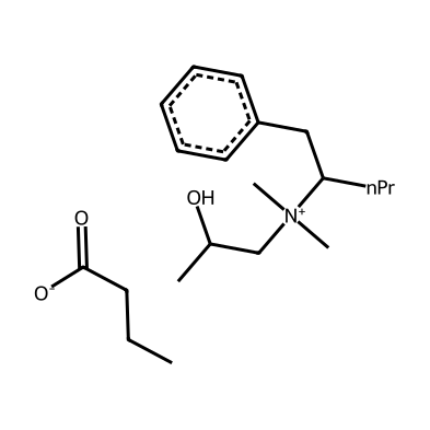 CCCC(=O)[O-].CCCC(Cc1ccccc1)[N+](C)(C)CC(C)O